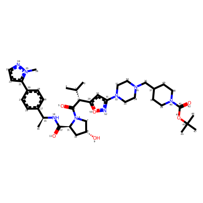 CC(C)[C@@H](C(=O)N1C[C@H](O)C[C@H]1C(=O)N[C@@H](C)c1ccc(-c2ccnn2C)cc1)c1cc(N2CCN(CC3CCN(C(=O)OC(C)(C)C)CC3)CC2)no1